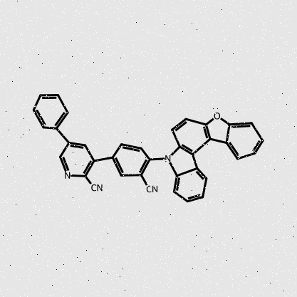 N#Cc1cc(-c2cc(-c3ccccc3)cnc2C#N)ccc1-n1c2ccccc2c2c3c(ccc21)oc1ccccc13